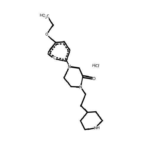 Cl.O=C(O)COc1ccc(N2CCN(CCC3CCNCC3)C(=O)C2)cc1